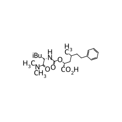 CC[C@H](C)[C@H](NC(=O)O[C@@H](CC(C)CCc1ccccc1)C(=O)O)C(=O)N(C)C